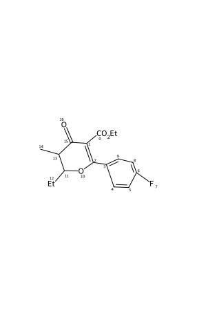 CCOC(=O)C1=C(c2ccc(F)cc2)OC(CC)C(C)C1=O